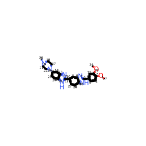 COc1ccc(-c2nc3cc(-c4nc5cc(N6CCN(C)CC6)ccc5[nH]4)ccc3[nH]2)cc1OC